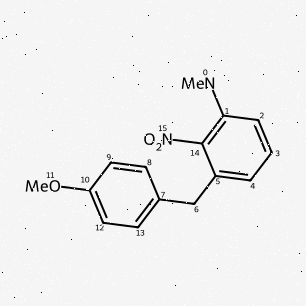 CNc1cccc(Cc2ccc(OC)cc2)c1[N+](=O)[O-]